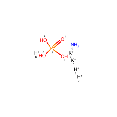 N.O=P(O)(O)O.[H+].[H+].[H+].[K+].[K+]